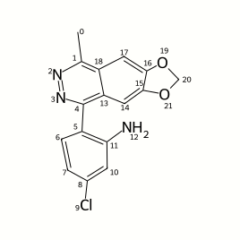 Cc1nnc(-c2ccc(Cl)cc2N)c2cc3c(cc12)OCO3